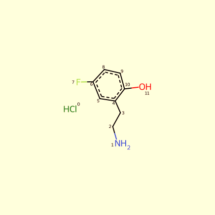 Cl.NCCc1cc(F)ccc1O